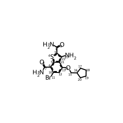 NC(=O)c1sc2c(C(N)=O)c(Br)cc(OCC3CCCC3)c2c1N